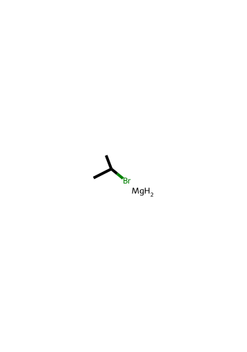 CC(C)Br.[MgH2]